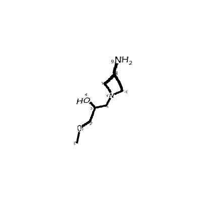 COCC(O)CN1CC(N)C1